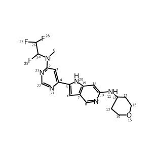 CN(c1cc(-c2cc3cnc(NC4CCOCC4)cc3[nH]2)ncn1)C(F)C(F)F